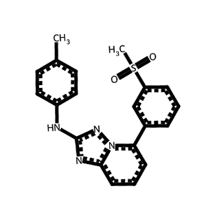 Cc1ccc(Nc2nc3cccc(-c4cccc(S(C)(=O)=O)c4)n3n2)cc1